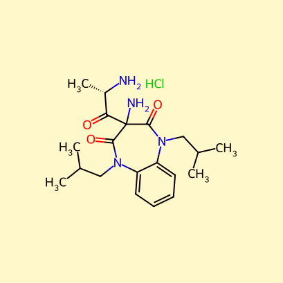 CC(C)CN1C(=O)C(N)(C(=O)[C@H](C)N)C(=O)N(CC(C)C)c2ccccc21.Cl